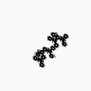 c1ccc(-c2cc(-c3ccc(-c4cccc(-c5cc(-c6cc(-c7nc(-c8ccccc8)nc(-c8ccccc8)n7)cc7sc8ccccc8c67)nc(-c6ccccc6)n5)c4)cc3)nc(-c3cccc(-c4cc(-c5cccc(-c6nc(-c7ccccc7)nc(-c7ccccc7)n6)c5)c5c(c4)sc4ccccc45)c3)n2)cc1